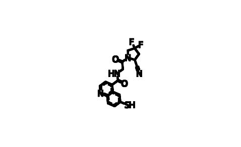 N#CC1CC(F)(F)CN1C(=O)CNC(=O)c1ccnc2ccc(S)cc12